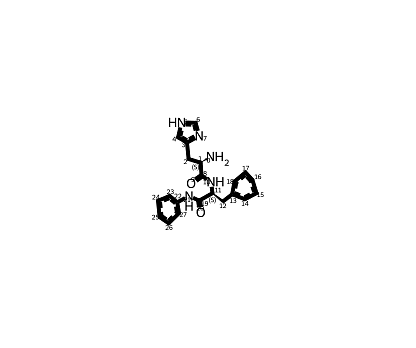 N[C@@H](Cc1c[nH]cn1)C(=O)N[C@@H](Cc1ccccc1)C(=O)Nc1ccccc1